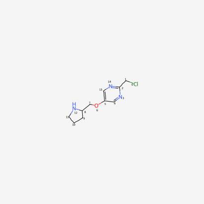 ClCc1ncc(OCC2CCCN2)cn1